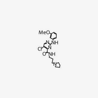 COc1cccc(Nc2ncc(Cl)c(C(=O)NCCCN3CCCC3)n2)c1